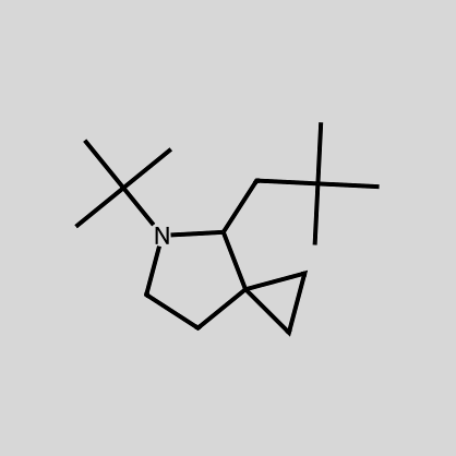 CC(C)(C)CC1N(C(C)(C)C)CCC12CC2